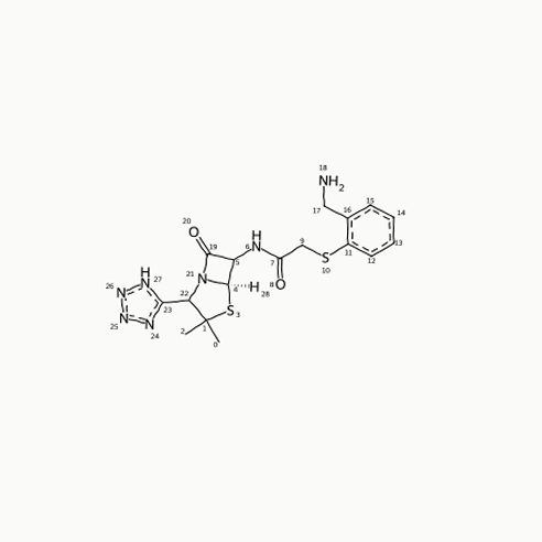 CC1(C)S[C@@H]2C(NC(=O)CSc3ccccc3CN)C(=O)N2C1c1nnn[nH]1